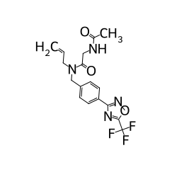 C=CCN(Cc1ccc(-c2noc(C(F)(F)F)n2)cc1)C(=O)CNC(C)=O